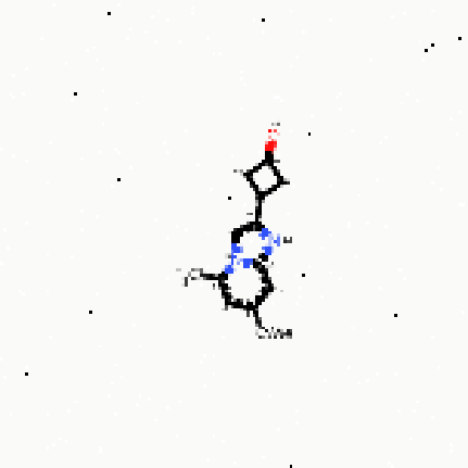 COc1cc(C(F)(F)F)n2cc(C3CC(=O)C3)nc2c1